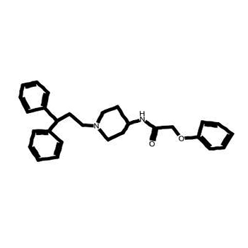 O=C(COc1ccccc1)NC1CCN(CCC(c2ccccc2)c2ccccc2)CC1